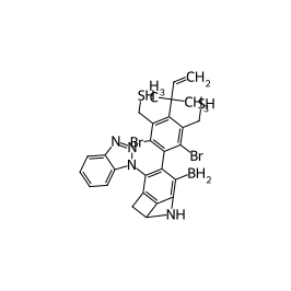 Bc1c2c3c(c(-n4nnc5ccccc54)c1-c1c(Br)c(CS)c(C(C)(C)C=C)c(CS)c1Br)CC3N2